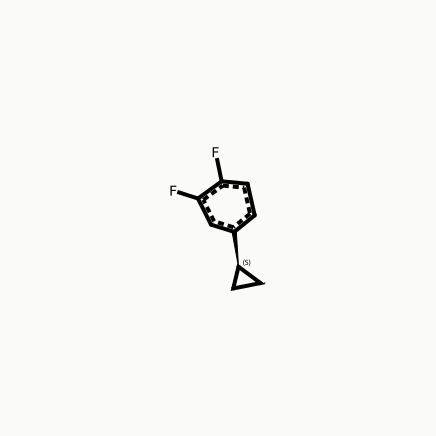 Fc1ccc([C@H]2[CH]C2)cc1F